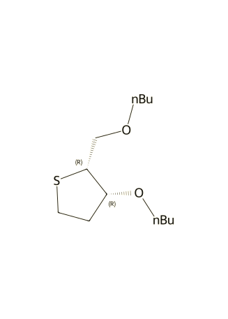 CCCCOC[C@H]1SCC[C@H]1OCCCC